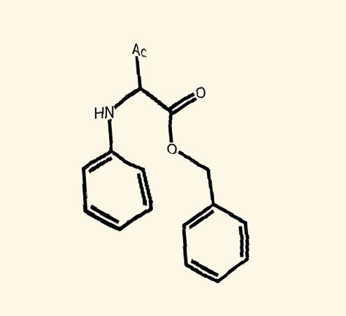 CC(=O)C(Nc1ccccc1)C(=O)OCc1ccccc1